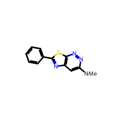 CNc1cc2nc(-c3ccccc3)sc2nn1